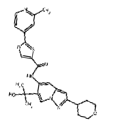 Cc1cc(-c2nc(C(=O)Nc3cc4cc(C5CCOCC5)nn4cc3C(C)(C)O)co2)ccn1